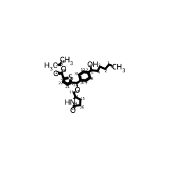 CCCCCC(O)c1ccc([C@@H](OCC2CCC(=O)N2)c2ccc(C(=O)OC(C)C)s2)cc1